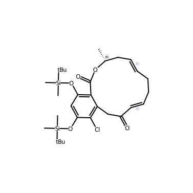 C[C@@H]1C/C=C/CC/C=C/C(=O)Cc2c(Cl)c(O[Si](C)(C)C(C)(C)C)cc(O[Si](C)(C)C(C)(C)C)c2C(=O)O1